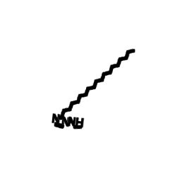 CCCCCCCCCCCCCCCCCCc1nccn1NCC